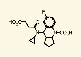 O=C(O)CCC(=O)N(C1CC1)C1c2cc(F)ccc2N(C(=O)O)C2CCCC21